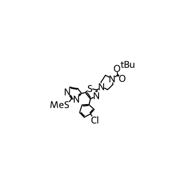 CSc1nccc(-c2sc(N3CCN(C(=O)OC(C)(C)C)CC3)nc2-c2cccc(Cl)c2)n1